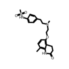 Cc1ccc(OCCN(C)CCc2ccc(NS(C)(=O)=O)cc2)c2c1NC(=O)CC2